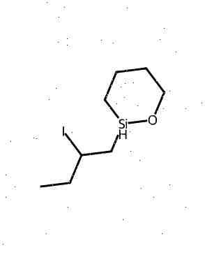 CCC(I)C[SiH]1CCCCO1